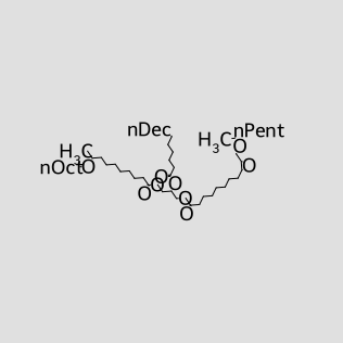 CCCCCCCCCCCCCCCC(=O)OC(COC(=O)CCCCCCCC(C)OCCCCCCCC)COC(=O)CCCCCCCC1OC1COC(C)CCCCC